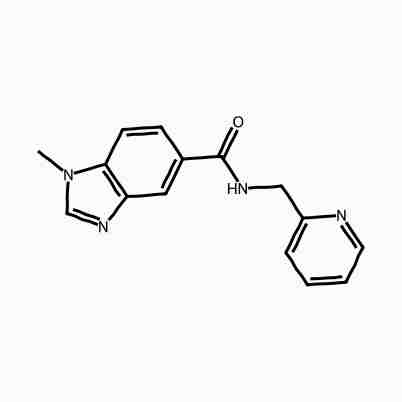 Cn1cnc2cc(C(=O)NCc3ccccn3)ccc21